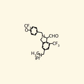 CC(C)N(C)Cc1cc2c(c(C(F)(F)F)c1)C(C=O)N(Cc1ccc(OC(F)(F)F)cc1)C2